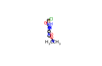 CN(C)CCOc1cccn(-c2ccc(-n3cc(CNC(=O)C4=CCC(Cl)S4)nn3)cc2)c1=O